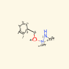 CCCNN(CCC)OCc1ccccc1